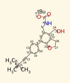 CC(C)(C)OC(=O)NCc1cc(-c2ccc(C#C[Si](C)(C)C)cc2)c2c(c1CO)CCO2